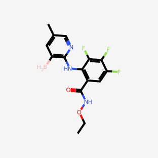 Bc1cc(C)cnc1Nc1c(C(=O)NOCC)cc(F)c(F)c1F